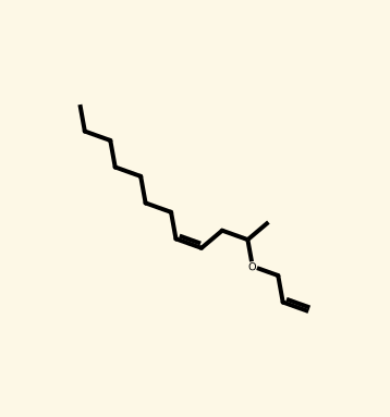 C=CCOC(C)C/C=C\CCCCCCC